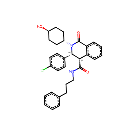 O=C(NCCCc1ccccc1)[C@@H]1c2ccccc2C(=O)N([C@H]2CC[C@H](O)CC2)[C@H]1c1ccc(Cl)cc1